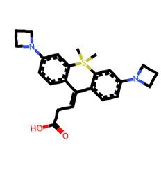 CS1(C)c2cc(N3CCC3)ccc2C(=CCC(=O)O)c2ccc(N3CCC3)cc21